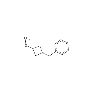 COC1CN(Cc2ccccc2)C1